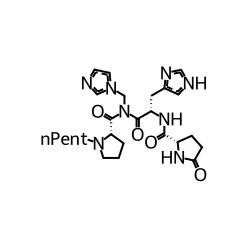 CCCCCN1CCC[C@H]1C(=O)N(Cn1ccnc1)C(=O)[C@H](Cc1c[nH]cn1)NC(=O)[C@@H]1CCC(=O)N1